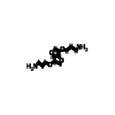 NCCCOC1COC2C(OCCCN)COC12